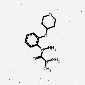 CN(N)C(=O)N(N)c1ccccc1OC1CCOCC1